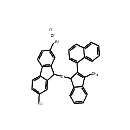 CC1=C(c2cccc3ccccc23)[CH]([Zr+2][CH]2c3cc(C(C)(C)C)ccc3-c3ccc(C(C)(C)C)cc32)c2ccccc21.[Cl-].[Cl-]